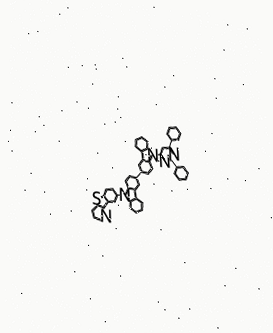 c1ccc(-c2cc(-n3c4ccccc4c4cc(-c5ccc6c(c5)c5ccccc5n6-c5ccc6sc7cccnc7c6c5)ccc43)nc(-c3ccccc3)n2)cc1